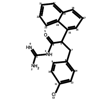 N=C(N)NC(=O)C(Cc1ccc(Cl)cc1)c1cccc2ccccc12